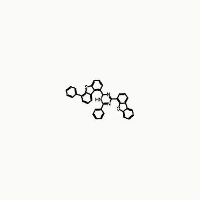 c1ccc(C2=NC(c3cccc4c3oc3ccccc34)=NC(c3cccc4sc5c(-c6ccccc6)cccc5c34)N2)cc1